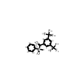 CP(=O)(C(=O)c1cc(C(F)(F)F)cc(C(F)(F)F)c1)c1ccccc1